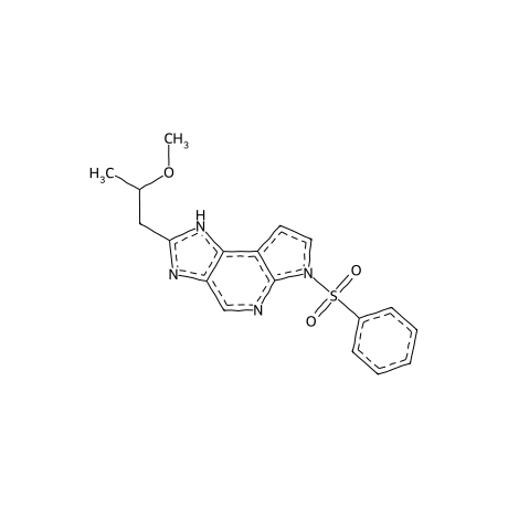 COC(C)Cc1nc2cnc3c(ccn3S(=O)(=O)c3ccccc3)c2[nH]1